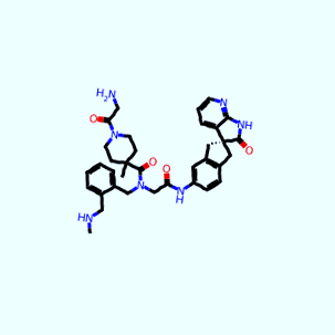 CNCc1ccccc1CN(CC(=O)Nc1ccc2c(c1)C[C@@]1(C2)C(=O)Nc2ncccc21)C(=O)C1(C)CCN(C(=O)CN)CC1